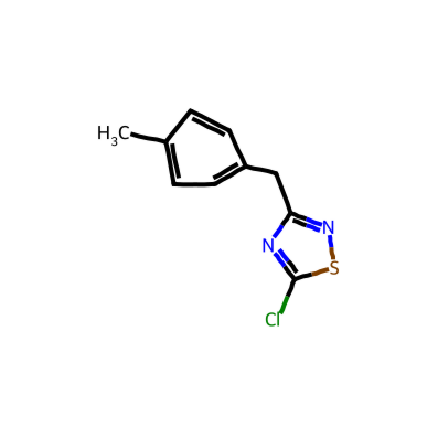 Cc1ccc(Cc2nsc(Cl)n2)cc1